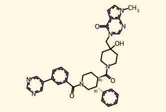 Cn1ccc2c(=O)n(CC3(O)CCN(C(=O)[C@@H]4CCN(C(=O)c5cccc(-c6cncnc6)c5)C[C@H]4c4ccccc4)CC3)cnc21